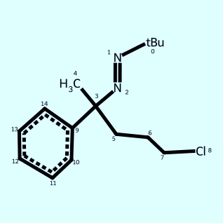 CC(C)(C)N=NC(C)(CCCCl)c1ccccc1